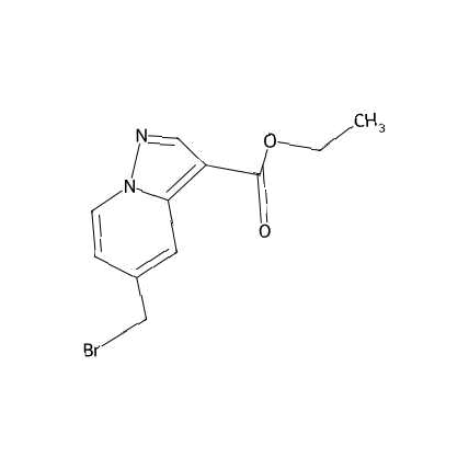 CCOC(=O)c1cnn2ccc(CBr)cc12